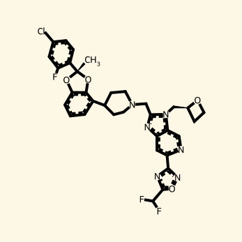 C[C@]1(c2ccc(Cl)cc2F)Oc2cccc(C3CCN(Cc4nc5cc(-c6noc(C(F)F)n6)ncc5n4C[C@@H]4CCO4)CC3)c2O1